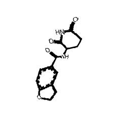 O=C1CCC(NC(=O)c2ccc3c(c2)CCO3)C(=O)N1